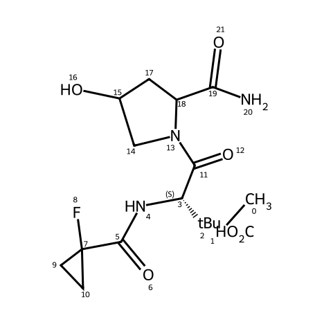 CC(=O)O.CC(C)(C)[C@H](NC(=O)C1(F)CC1)C(=O)N1CC(O)CC1C(N)=O